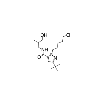 CC(CO)CNC(=O)c1cc(C(C)(C)C)nn1CCCCCCl